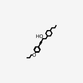 CCCOc1ccc(C#CC(O)CC2CCC(CCC)CC2)cc1